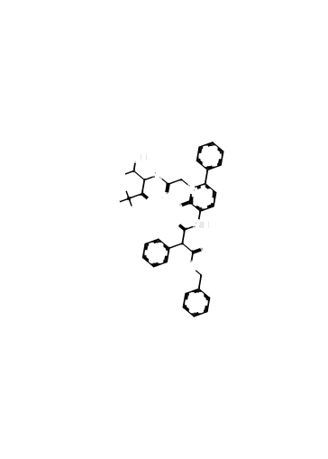 CC(C)C(NC(=O)Cn1c(-c2ccccc2)ccc(NC(=O)C(C(=O)OCc2ccccc2)c2ccccc2)c1=O)C(=O)C(F)(F)F